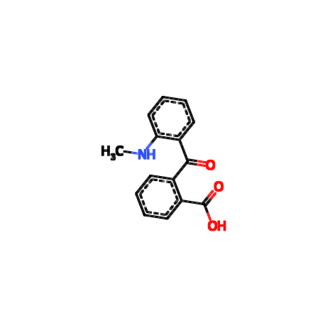 CNc1ccccc1C(=O)c1ccccc1C(=O)O